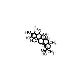 Cc1c(O)c(O)cc2c1C(=O)C(O)=C1C2(C)CCC2(C)C3CC(C)(C(=O)O)CCC3(C)CCC12C